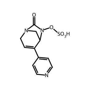 O=C1N2CC=C(c3ccncc3)C(C2)N1OS(=O)(=O)O